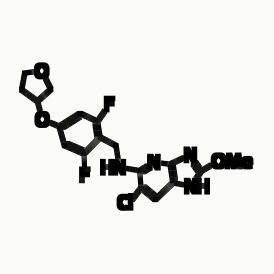 COc1nc2nc(NCc3c(F)cc(OC4CCOC4)cc3F)c(Cl)cc2[nH]1